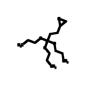 CCC[O][Zr]([CH2]CC1CO1)([O]CCC)[O]CCC